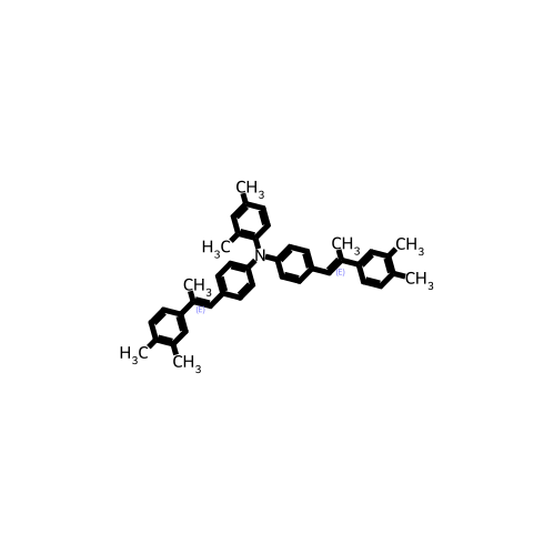 C/C(=C\c1ccc(N(c2ccc(/C=C(\C)c3ccc(C)c(C)c3)cc2)c2ccc(C)cc2C)cc1)c1ccc(C)c(C)c1